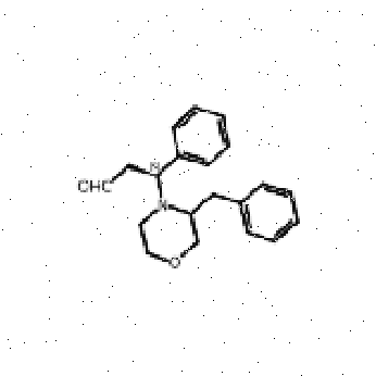 O=CC[C@@H](c1ccccc1)N1CCOCC1Cc1ccccc1